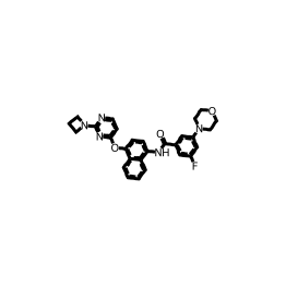 O=C(Nc1ccc(Oc2ccnc(N3CCC3)n2)c2ccccc12)c1cc(F)cc(N2CCOCC2)c1